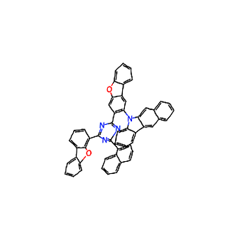 c1ccc2cc3c(cc2c1)c1ccccc1n3-c1cc2c(cc1-c1nc(-c3cccc4ccccc34)nc(-c3cccc4c3oc3ccccc34)n1)oc1ccccc12